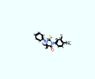 [C-]#[N+]c1ccc(N2C(=O)C(C)(C)N(c3ccccc3)C2=S)cc1C